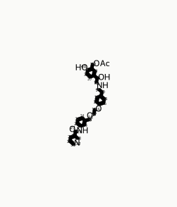 CC(=O)OCc1cc([C@@H](O)CNCCc2ccc(OCCOCc3cccc(NC(=O)c4cccnc4)c3)cc2)ccc1O